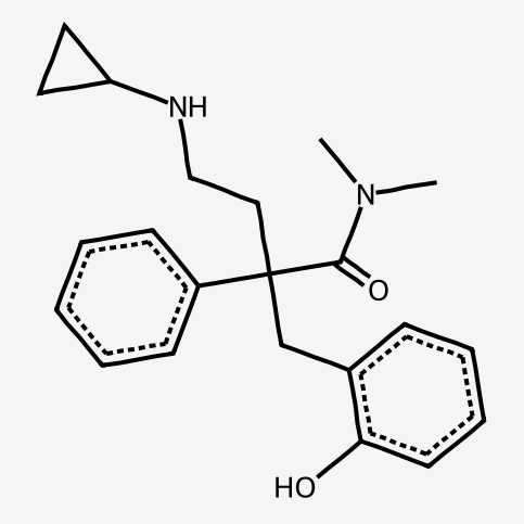 CN(C)C(=O)C(CCNC1CC1)(Cc1ccccc1O)c1ccccc1